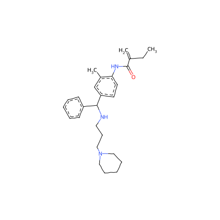 C=C(CC)C(=O)Nc1ccc(C(NCCCN2CCCCC2)c2ccccc2)cc1C